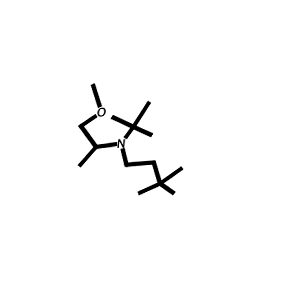 COCC(C)N(CCC(C)(C)C)C(C)(C)C